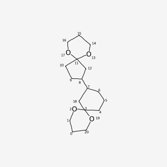 C1COC2(CCCC(C3CCC4(C3)OCCCO4)C2)OC1